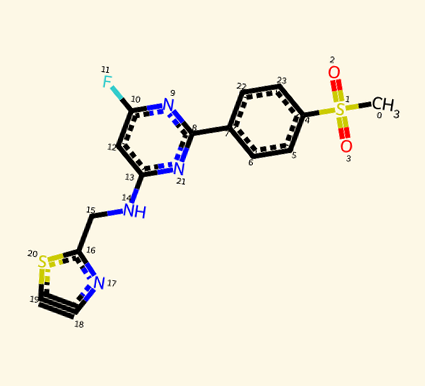 CS(=O)(=O)c1ccc(-c2nc(F)cc(NCc3nc#cs3)n2)cc1